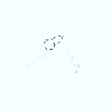 CCCCNc1nc(N)c2nc(O)n(CCCCNC(C)C)c2n1